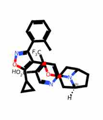 Cc1ccccc1-c1noc(C2CC2)c1COC1CC2CC[C@@H](C1)N2c1cc(C(F)(F)F)c(C(=O)O)cn1